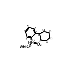 CO[PH](=O)c1ccccc1C1CCCCC1